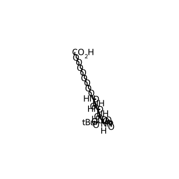 CC(C)(C)OC(=O)CC[C@H](NC(=O)CN1C(=O)C=CC1=O)C(=O)NCC(=O)NCC(=O)NCC(=O)NCC(=O)NCCOCCOCCOCCOCCOCCOCCOCCOCCC(=O)O